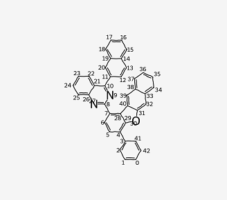 c1ccc(-c2ccc(-c3nc(-c4ccc5ccccc5c4)c4ccccc4n3)c3c2oc2cc4ccccc4cc23)cc1